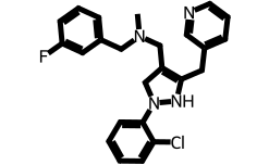 CN(CC1=C(Cc2cccnc2)NN(c2ccccc2Cl)C1)Cc1cccc(F)c1